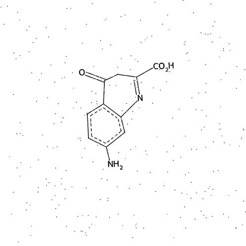 Nc1ccc2c(c1)N=C(C(=O)O)CC2=O